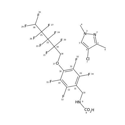 Cc1nn(C)cc1Cl.O=C(O)NCc1c(F)c(F)c(OCC(F)(F)C(F)(F)C(F)(F)C(F)F)c(F)c1F